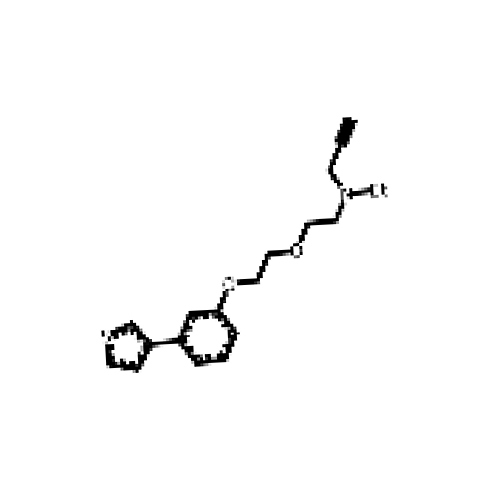 C#CCN(CC)CCOCCOc1cccc(-c2ccsc2)c1